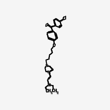 CCN(CC)CCN1CCN(CCCCCOc2ccc(C(=O)c3ccc(Cl)cc3)cc2)CC1